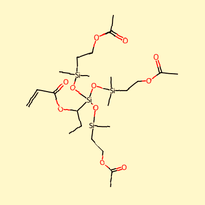 C=CC(=O)OC(CC)[Si](O[Si](C)(C)CCOC(C)=O)(O[Si](C)(C)CCOC(C)=O)O[Si](C)(C)CCOC(C)=O